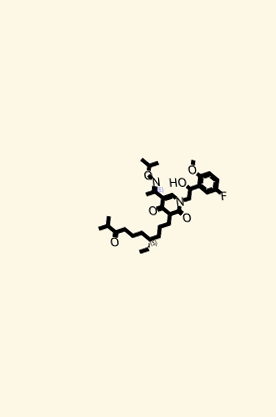 CC[C@H](CCCC(=O)C(C)C)CCCC1C(=O)C(/C(C)=N/OC(C)C)=CN(CC(O)c2cc(F)ccc2OC)C1=O